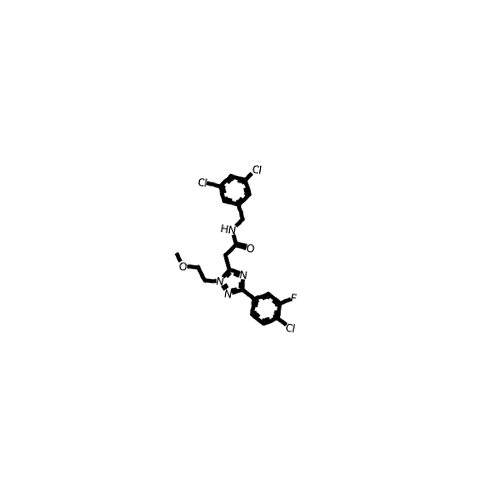 COCCn1nc(-c2ccc(Cl)c(F)c2)nc1CC(=O)NCc1cc(Cl)cc(Cl)c1